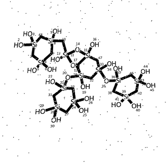 O[Si]1(O)C[Si](O)(O)C[Si](O)(C[Si](O)(O)O[Si]2(O)C[Si](O)(O[Si]3(O)C[Si](O)(O)C[Si](O)(O)C3)C[Si](O)(O[Si]3(O)C[Si](O)(O)C[Si](O)(O)C3)C2)C1